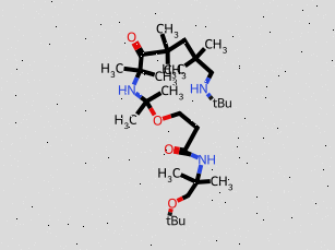 CC(C)(CNC(C)(C)C)CC(C)(C)C(=O)C(C)(C)NC(C)(C)OCCC(=O)NC(C)(C)COC(C)(C)C